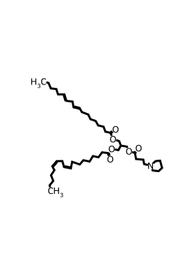 CCCCCC=CCC=CCCCCCCCC(=O)OCC(COC(=O)CCCCCCC/C=C\C/C=C\CCCCC)COC(=O)CCCN1CCCCC1